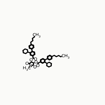 CCCCCc1ccc(-c2ccc(C(=O)O[C@H]3C(=O)N(C)C(=O)[C@@H]3OC(=O)c3ccc(-c4ccc(CCCCC)cc4)c(C4CCCCC4)c3)cc2C2CCCCC2)cc1